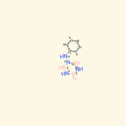 B1NBN(Nc2ccccc2)BN1